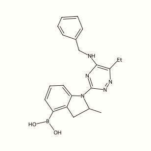 CCc1nnc(N2c3cccc(B(O)O)c3CC2C)nc1NCc1ccccc1